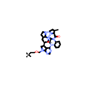 Cc1ccn2nc([C@H](C)Nc3ncnc4c3c(-c3cnc5[nH]ccc5c3)cn4COCC[Si](C)(C)C)n(-c3ccccc3)c(=O)c12